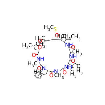 C/C=C(\C)[C@H]1NC(=O)[C@@H](C)NC(=O)[C@H]([C@H](C)CC)NC(=O)CN(C)C(=O)[C@@H](Cc2ccccc2)N(C)C(=O)[C@H](C)NC(=O)[C@@H](CC(C)C)OC(=O)/C(C)=C/C[C@H](OCSC)[C@@H]1C